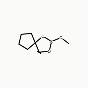 COB1OC2(CCCC2)C2(CCCC2)O1